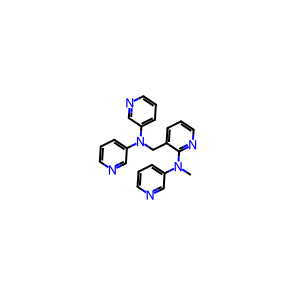 CN(c1cccnc1)c1ncccc1CN(c1cccnc1)c1cccnc1